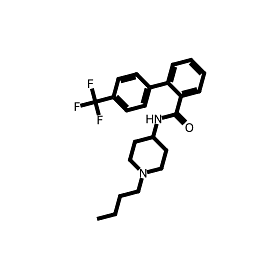 CCCCN1CCC(NC(=O)c2ccccc2-c2ccc(C(F)(F)F)cc2)CC1